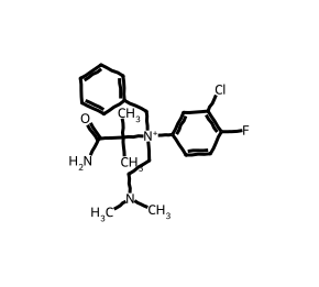 CN(C)CC[N+](Cc1ccccc1)(c1ccc(F)c(Cl)c1)C(C)(C)C(N)=O